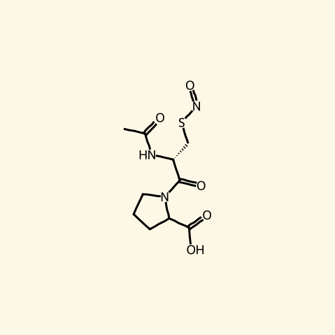 CC(=O)N[C@H](CSN=O)C(=O)N1CCCC1C(=O)O